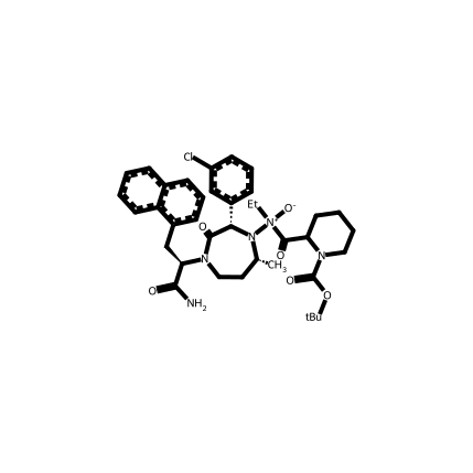 CC[N+]([O-])(C(=O)C1CCCCN1C(=O)OC(C)(C)C)N1[C@H](C)CCN([C@H](Cc2cccc3ccccc23)C(N)=O)C(=O)[C@@H]1c1cccc(Cl)c1